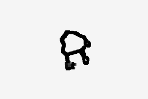 CCC1CCCCCOC1=O